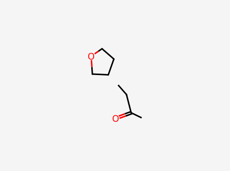 C1CCOC1.CCC(C)=O